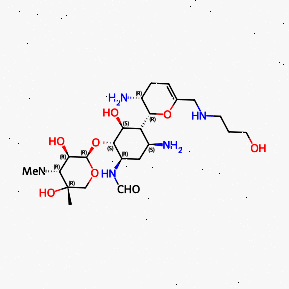 CN[C@@H]1[C@@H](O)[C@@H](O[C@H]2[C@H](NC=O)C[C@H](N)C([C@H]3OC(CNCCCO)=CC[C@H]3N)[C@@H]2O)OC[C@]1(C)O